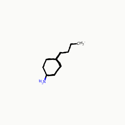 [CH2]CCCC1CCC(N)CC1